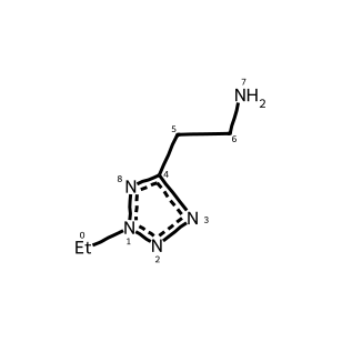 CCn1nnc(CCN)n1